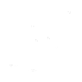 CCc1cc(C2=CCNCC2)cn2c(=O)cc(-c3ccc(OC)c(OC)c3)nc12